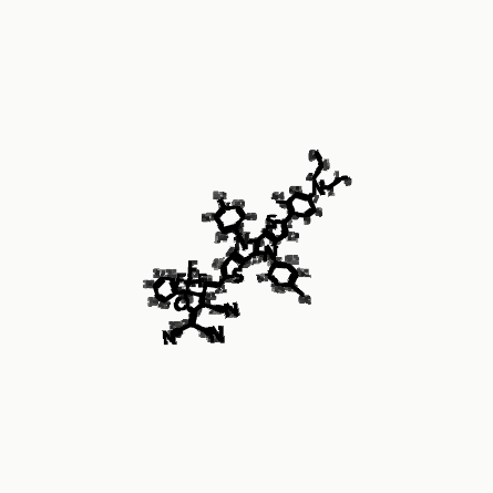 CCCN(CCC)c1ccc(-c2cc3c(s2)c2c(c4sc(/C=C/C5=C(C#N)C(=C(C#N)C#N)OC5(c5ccccc5)C(F)(F)F)cc4n2-c2ccc(C)cc2)n3-c2ccc(C)cc2)c(C)c1